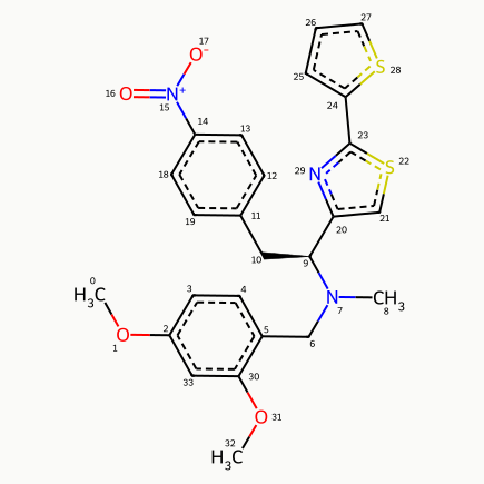 COc1ccc(CN(C)[C@@H](Cc2ccc([N+](=O)[O-])cc2)c2csc(-c3cccs3)n2)c(OC)c1